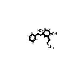 CCCC1=CC(O)(CCc2ccccc2)C=CC1O